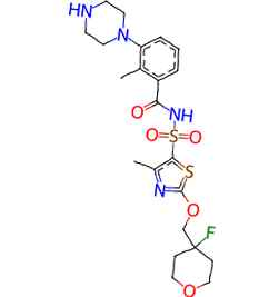 Cc1nc(OCC2(F)CCOCC2)sc1S(=O)(=O)NC(=O)c1cccc(N2CCNCC2)c1C